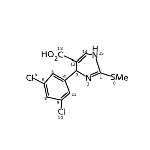 CSC1=NC(c2cc(Cl)cc(Cl)c2)C(C(=O)O)=CN1